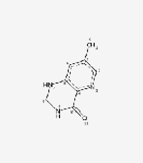 Cc1cnc2c(c1)NCNC2=O